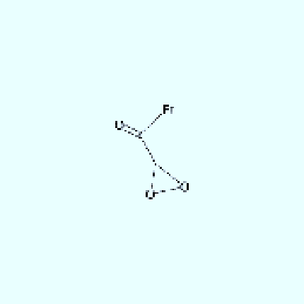 CCC(=O)C1OO1